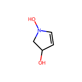 OC1C=CN(O)C1